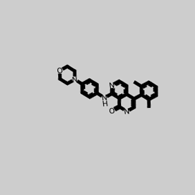 Cc1cccc(C)c1C1=C[N]C(=O)c2c1ccnc2Nc1ccc(N2CCOCC2)cc1